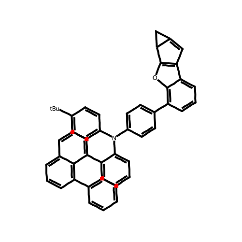 CC(C)(C)c1ccc(N(c2ccc(-c3cccc4c5c(oc34)C3CC3=C5)cc2)c2ccccc2-c2cccc3cccc(-c4ccccc4)c23)cc1